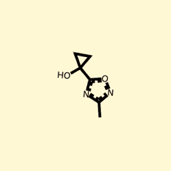 Cc1noc(C2(O)CC2)n1